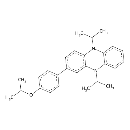 CC(C)Oc1ccc(-c2ccc3c(c2)N(C(C)C)c2ccccc2N3C(C)C)cc1